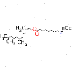 CCCCCCCC/C=C\CCCCCCCC(=O)OCC=C(C)CCC=C(C)CCC=C(C)C